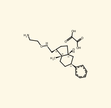 C[C@]12CC[C@H](c3ccccc3)C[C@@]1(O)CC[C@@H]2CNOCCN.O=C(O)C(=O)O